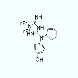 CCCN(CCC)C(=N)NC(=N)N(c1ccccc1)c1ccc(O)cc1